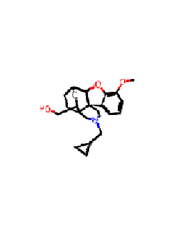 COc1cccc2c1OC1C3CCC4(CN(CC5CC5)CCC214)C(CO)C3